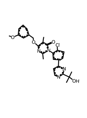 COc1cccc(COc2nc(C)n(-c3cc(-c4ccnc(C(C)(C)O)n4)ccc3Cl)c(=O)c2C)c1